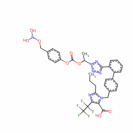 CCCc1nc(C(F)(F)C(F)(F)F)c(C(=O)O)n1Cc1ccc(-c2ccccc2-c2nnn(C(C)OC(=O)Oc3ccc(CON(O)O)cc3)n2)cc1